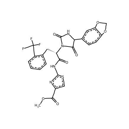 COC(=O)c1csc(NC(=O)[C@H](Cc2ccccc2C(F)(F)F)N2C(=O)NC(c3ccc4c(c3)OCO4)C2=O)n1